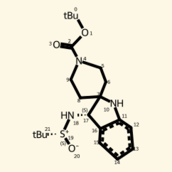 CC(C)(C)OC(=O)N1CCC2(CC1)Nc1ccccc1[C@@H]2N[S@+]([O-])C(C)(C)C